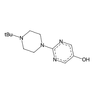 CC(C)(C)N1CCN(c2ncc(O)cn2)CC1